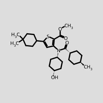 COC(=O)c1sc(C2CCC(C)(C)CC2)cc1N(C(=O)[C@H]1CC[C@H](C)CC1)[C@H]1CC[C@@H](O)CC1